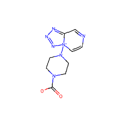 O=C([O-])N1CCN([N+]23C=CN=CC2=NN=N3)CC1